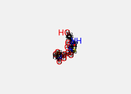 CC1(C)S[C@@H]2[C@H](N3C(=O)C(c4ccc(O)cc4)NC3(C)C)C(=O)N2[C@H]1C(=O)OCOC(=O)[C@@H]1N2C(=O)C[C@H]2S(=O)(=O)C1(C)C